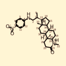 CC(CNc1ccc([N+](=O)[O-])cc1)[C@H]1CC[C@H]2[C@@H]3CC[C@H]4N(C)C(=O)CC[C@]4(C)[C@H]3CC[C@]12C